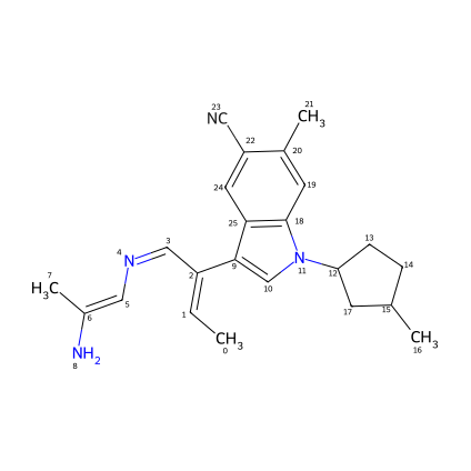 C/C=C(/C=N\C=C(/C)N)c1cn(C2CCC(C)C2)c2cc(C)c(C#N)cc12